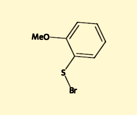 COc1ccccc1SBr